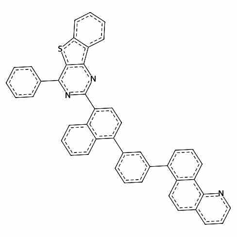 c1ccc(-c2nc(-c3ccc(-c4cccc(-c5cccc6c5ccc5cccnc56)c4)c4ccccc34)nc3c2sc2ccccc23)cc1